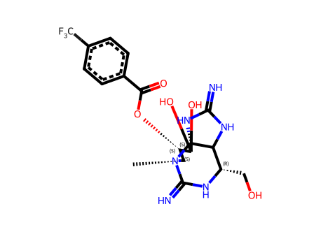 C[C@H]1[C@H](OC(=O)c2ccc(C(F)(F)F)cc2)C(O)(O)[C@]23NC(=N)NC2[C@H](CO)NC(=N)N13